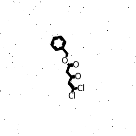 O=C(C=C(Cl)Cl)CC(=O)OCc1ccccc1